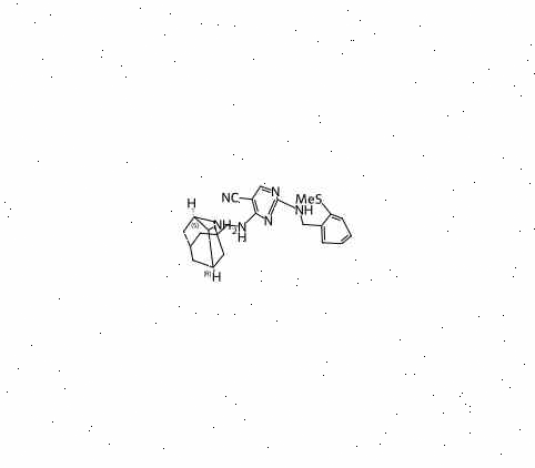 CSc1ccccc1CNc1ncc(C#N)c(NCC23CC4C[C@H](C2)C(N)[C@@H](C4)C3)n1